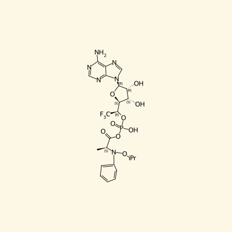 CC(C)ON(c1ccccc1)[C@@H](C)C(=O)OP(=O)(O)O[C@H]([C@H]1O[C@@H](n2cnc3c(N)ncnc32)[C@H](O)[C@@H]1O)C(F)(F)F